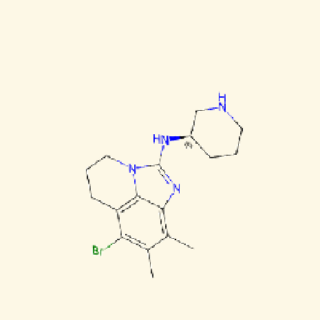 Cc1c(Br)c2c3c(nc(N[C@@H]4CCCNC4)n3CCC2)c1C